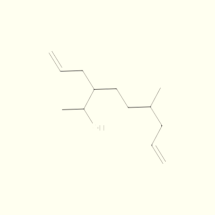 C=CCC(C)CCC(CC=C)C(C)O